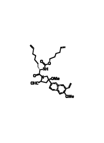 C=CCCCCC[C@H](NC(=O)OCCCCC=C)C(=O)N1C[C@](OC)(c2ccc3cc(OC)c(C=C)cc3c2)C[C@H]1C=O